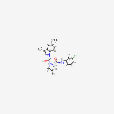 CC(=O)c1cn(CC(=O)N2C3C[C@@H]3C[C@H]2C(=O)NCc2cccc(Cl)c2F)c2ccc(C(=O)O)cc12